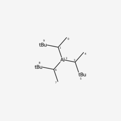 C[CH]([Al]([CH](C)C(C)(C)C)[CH](C)C(C)(C)C)C(C)(C)C